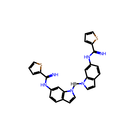 N=C(Nc1ccc2ccn(Bn3ccc4ccc(NC(=N)c5cccs5)cc43)c2c1)c1cccs1